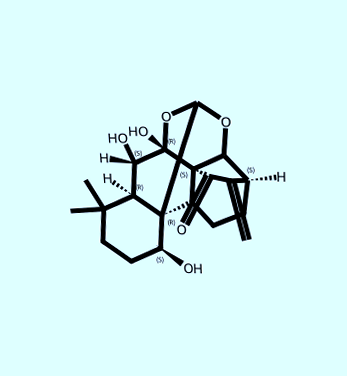 C=C1C(=O)[C@@]23C4OC5O[C@@]2(O)[C@@H](O)[C@@H]2C(C)(C)CC[C@H](O)[C@]52C3CC[C@@H]14